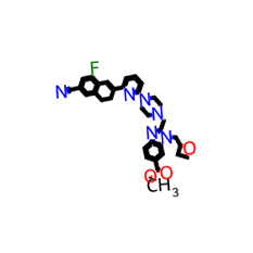 COC(=O)c1ccc2nc(CN3CCN(c4cccc(C5=Cc6c(F)cc(C#N)cc6CC5)n4)CC3)n(CC3CCO3)c2c1